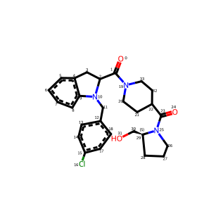 O=C(C1Cc2ccccc2N1Cc1ccc(Cl)cc1)N1CCC(C(=O)N2CCC[C@H]2CO)CC1